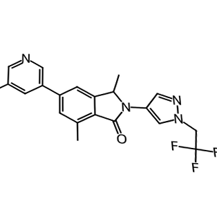 Cc1cncc(-c2cc(C)c3c(c2)C(C)N(c2cnn(CC(F)(F)F)c2)C3=O)c1